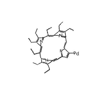 CCC1=C(CC)C2=NC1=CC1=NC(=CC3=NC(=C(CC)C4=NC(=C2CC)C(CC)=C4CC)C(CC)=C3CC)[C]([Pd])=C1